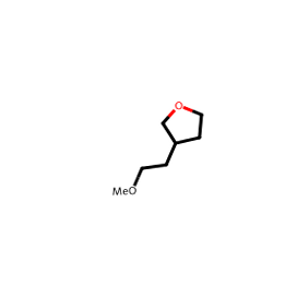 COCCC1CCOC1